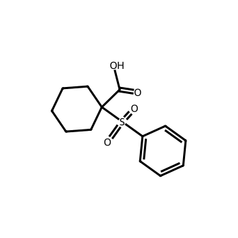 O=C(O)C1(S(=O)(=O)c2ccccc2)CCCCC1